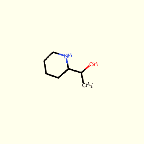 [CH2]C(O)C1CCCCN1